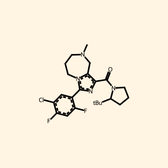 CN1CCCn2c(-c3cc(Cl)c(F)cc3F)nc(C(=O)N3CCCC3C(C)(C)C)c2C1